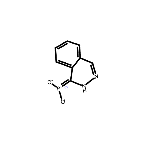 [O-]/[P+](Cl)=c1/[nH]ncc2ccccc12